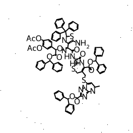 CC(=O)Oc1ccc(C(ON=C(C(=O)N[C@@H]2C(=O)N3C(C(=O)OC(c4ccccc4)c4ccccc4)=C(CSc4cc(C)nc5nc(C(=O)OC(c6ccccc6)c6ccccc6)nn45)CS[C@H]23)c2nc(C(c3ccccc3)(c3ccccc3)c3ccccc3)sc2N)C(=O)OC(c2ccccc2)c2ccccc2)cc1OC(C)=O